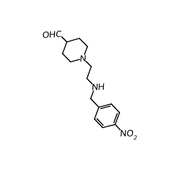 O=CC1CCN(CCNCc2ccc([N+](=O)[O-])cc2)CC1